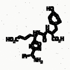 CC(C)[C@H](N)c1noc([C@@H](CCCC(=O)O)NC(=O)N[C@@H](Cc2ccc(O)cc2)C(=O)O)n1